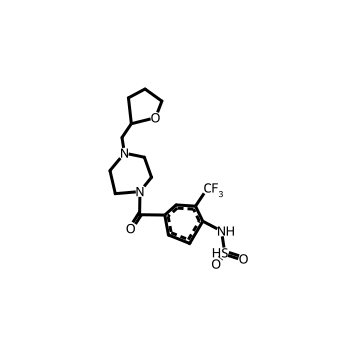 O=C(c1ccc(N[SH](=O)=O)c(C(F)(F)F)c1)N1CCN(CC2CCCO2)CC1